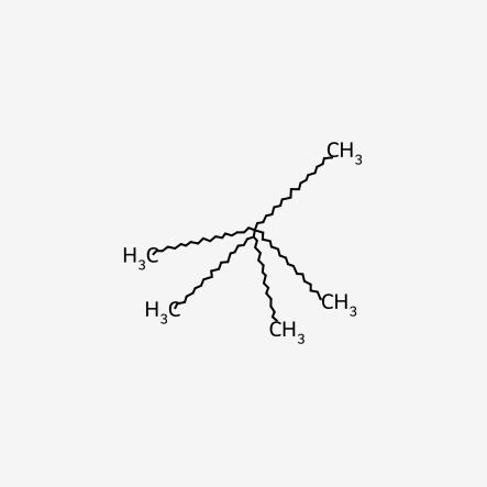 CCCCCCCCCCCCCCCCCCCC(CCCCCCCCCCCCCCCCC)(CCCCCCCCCCCCCCCCCC)C(CCCCCCCCCCCCCCCC)CCCCCCCCCCCCCCCCCC